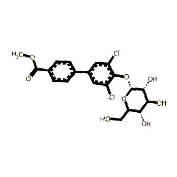 COC(=O)c1ccc(-c2cc(Cl)c(O[C@H]3OC(CO)[C@@H](O)C(O)[C@H]3O)c(Cl)c2)cc1